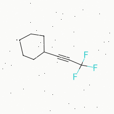 FC(F)(F)C#CC1CC[CH]CC1